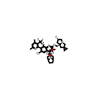 Cc1cc(C)c(C(F)(F)F)c(-c2c(Cl)cc3c(N4CC5CCC(C4)N5C(=O)OC(C)(C)C)nc(OC[C@@]45C[C@@H](F)CN4CC4(CC4)C5)nc3c2F)n1